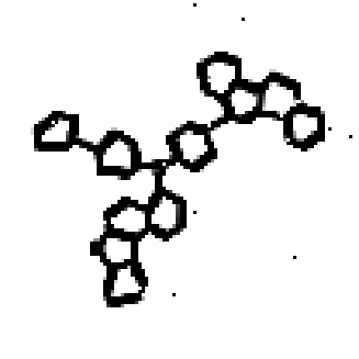 c1ccc(-c2ccc(N(c3ccc(-c4cc5c6ccccc6ccc5c5ccccc45)cc3)c3cccc4c3ccc3oc5ccccc5c34)cc2)cc1